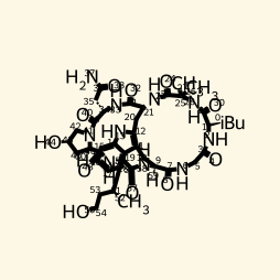 CC[C@H](C)C1NC(=O)CNC(=O)[C@@H]2Cc3c([nH]c4ccccc34)CC(NC(=O)C(C)(C)NC1=O)C(=O)N[C@@H](CC(N)=O)C(=O)N1C[C@H](O)C[C@H]1C(=O)N[C@@H]([C@@H](C)CCO)C(=O)N2